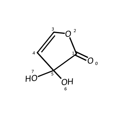 O=C1OC=CC1(O)O